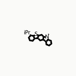 CC(C)c1cccc2c1sc1cc3c(cc12)c1ccccc1n3C